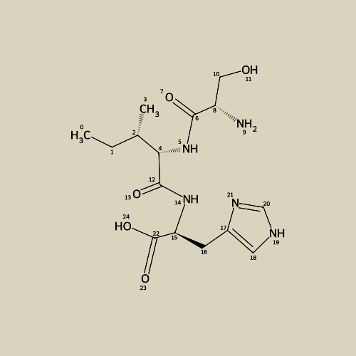 CC[C@H](C)[C@H](NC(=O)[C@@H](N)CO)C(=O)N[C@@H](Cc1c[nH]cn1)C(=O)O